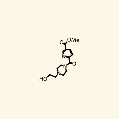 COC(=O)c1ccc(C(=O)N2CCN(CCO)CC2)nc1